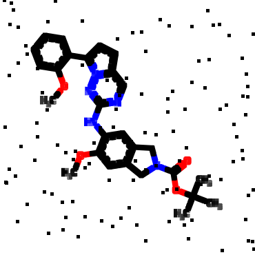 COc1cc2c(cc1Nc1ncc3ccc(-c4ccccc4OC)n3n1)CN(C(=O)OC(C)(C)C)C2